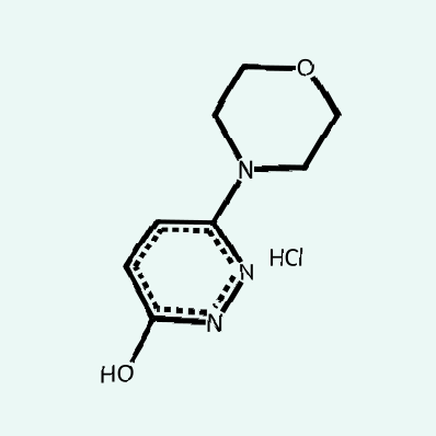 Cl.Oc1ccc(N2CCOCC2)nn1